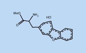 COC(=O)C(N)Cc1ccc2c(c1)oc1ccccc12.Cl